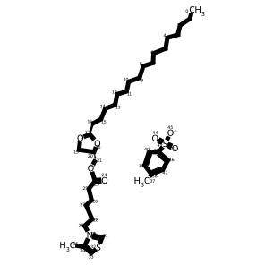 CCCCCCCCCCCCCCCCC[C@@H]1OC[C@@H](COC(=O)CCCCC[n+]2cscc2C)O1.Cc1ccc(S(=O)(=O)[O-])cc1